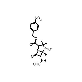 CC1(C)C(C(=O)OCc2ccc([N+](=O)[O-])cc2)N2C(=O)[C@@H](NC=O)[C@H]2[S+]1[O-]